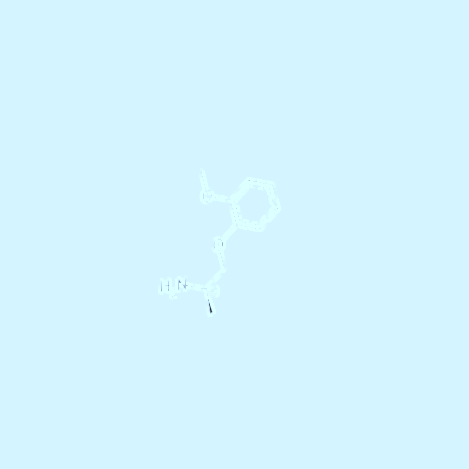 COc1ccccc1OC[C@@H](C)N